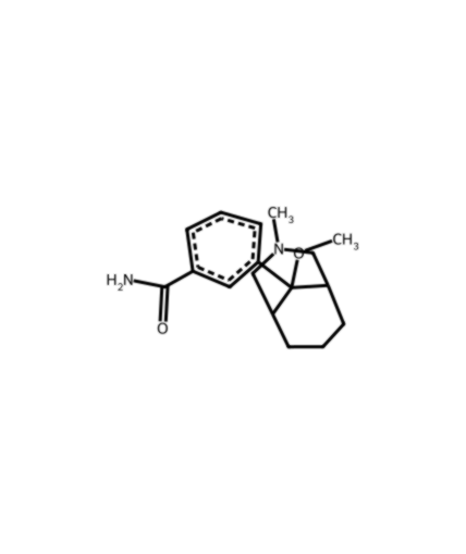 COC1(c2cccc(C(N)=O)c2)C2CCCC1CN(C)C2